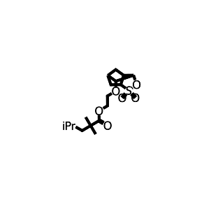 CC(C)CC(C)(C)C(=O)OCCOC1C2CC3C1OS(=O)(=O)C3C2